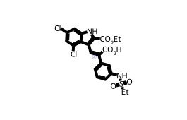 CCOC(=O)c1[nH]c2cc(Cl)cc(Cl)c2c1/C=C(\C(=O)O)c1cccc(NS(=O)(=O)CC)c1